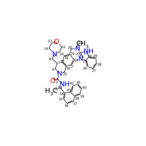 C[C@H](NC(=O)N(CCCN1CCOCC1)Cc1ccc(CN(C)c2nc3ccccc3[nH]2)cc1)c1cccc2ccccc12